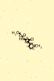 C=COC(=O)Nc1nc(C2=CCCN(C)C2)c(Cl)s1